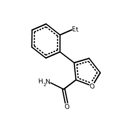 CCc1ccccc1-c1ccoc1C(N)=O